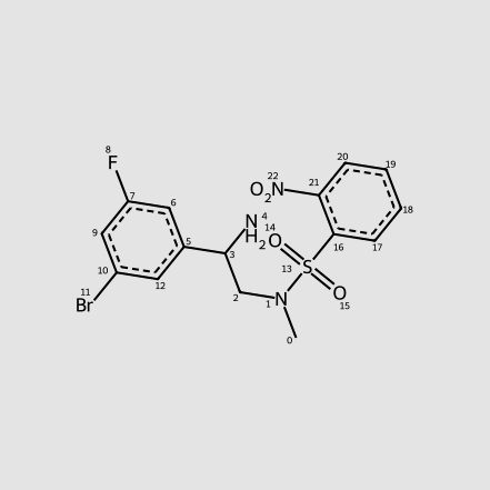 CN(CC(N)c1cc(F)cc(Br)c1)S(=O)(=O)c1ccccc1[N+](=O)[O-]